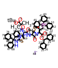 CC(C)(C)OC(=O)C(C)(C)O/N=C(\C(=O)NC1C(=O)N2C(C(=O)OC(c3ccccc3)c3ccccc3)=C(C[P+](c3ccccc3)(c3ccccc3)c3ccccc3)CS[C@@H]12)c1csc(NC(c2ccccc2)(c2ccccc2)c2ccccc2)n1.[I-]